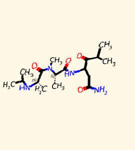 CC(C)N[C@@H](C)C(=O)N(C)[C@@H](C)C(=O)NC(CC(N)=O)C(=O)C(C)C